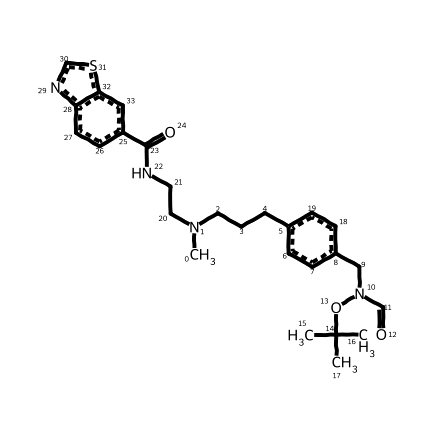 CN(CCCc1ccc(CN(C=O)OC(C)(C)C)cc1)CCNC(=O)c1ccc2ncsc2c1